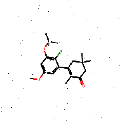 COc1cc(O[SiH](C)C)c(Br)c(C2=C(C)C(=O)CC(C)(C)C2)c1